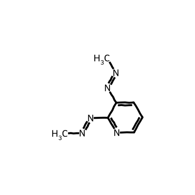 CN=Nc1cccnc1N=NC